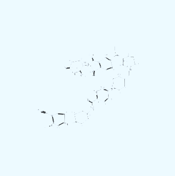 N#Cc1ccc(OC2CCC(NC(=O)c3ccc(N4CCC(CN5CCC[C@H](Nc6ccc7c(c6)C(=O)N(C6CCC(=O)NC6=O)C7=O)C5)CC4)nn3)CC2)cc1Cl